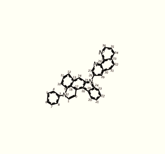 C1=CN(c2ccccc2)c2cccc3cc4c(c1c23)c1ccccc1n4-c1cnc2c(ccc3cccnc32)c1